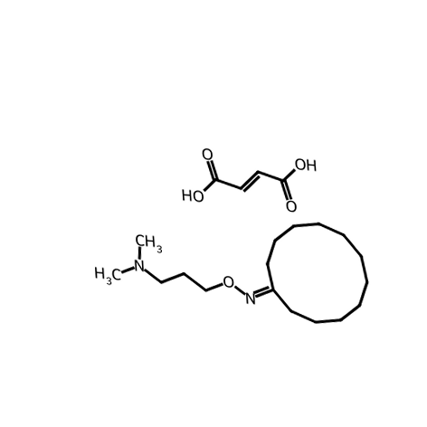 CN(C)CCCON=C1CCCCCCCCCCC1.O=C(O)C=CC(=O)O